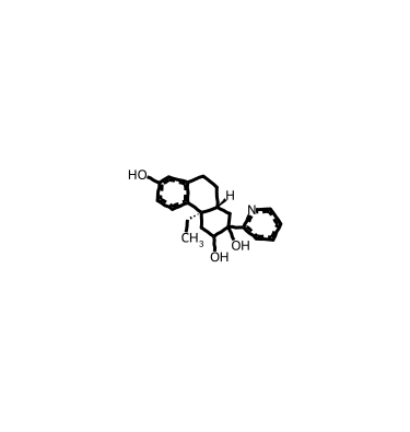 CC[C@@]12CC(O)C(O)(c3ccccn3)C[C@H]1CCc1cc(O)ccc12